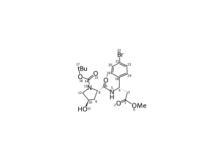 COC(=O)C[C@H](NC(=O)[C@@H]1C[C@@H](O)CN1C(=O)OC(C)(C)C)c1ccc(Br)cc1